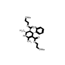 COCCOC(=O)C1=C(C)N[C@H](C)[C@@H](C(=O)OCCOC)[C@@H]1c1ccccc1[N+](=O)[O-]